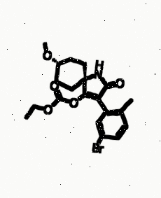 CCOC(=O)OC1=C(c2cc(Br)ccc2C)C(=O)N[C@]12CC[C@@H](OC)CC2